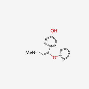 CNCC=C(Oc1ccccc1)c1ccc(O)cc1